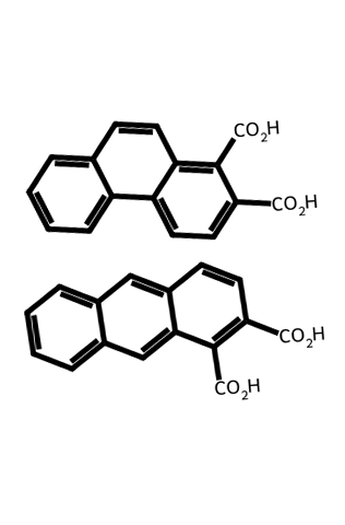 O=C(O)c1ccc2c(ccc3ccccc32)c1C(=O)O.O=C(O)c1ccc2cc3ccccc3cc2c1C(=O)O